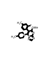 COc1nc2ncnn2c(N2CCC(C)CC2)c1-c1ccc(C)cc1F